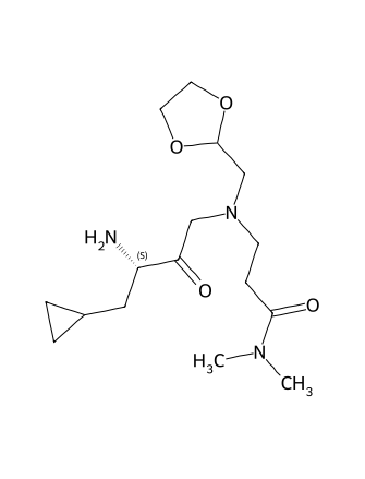 CN(C)C(=O)CCN(CC(=O)[C@@H](N)CC1CC1)CC1OCCO1